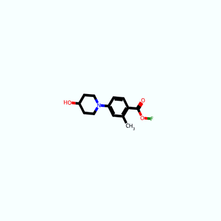 Cc1cc(N2CCC(O)CC2)ccc1C(=O)OF